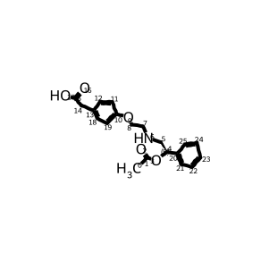 CC(=O)O[C@@H](CNCCOc1ccc(CC(=O)O)cc1)c1ccccc1